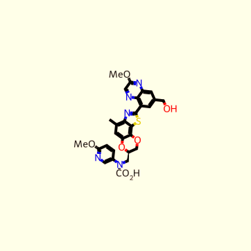 COc1ccc(N(C[C@@H]2COc3c(cc(C)c4nc(-c5cc(CO)cc6nc(OC)cnc56)sc34)O2)C(=O)O)cn1